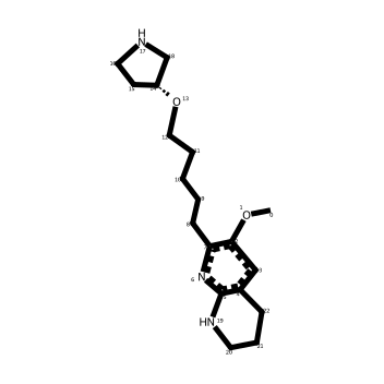 COc1cc2c(nc1CCCCCO[C@@H]1CCNC1)NCCC2